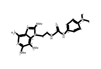 CNc1nc(N)c2nc(NC)n(CCNC(=O)Nc3ccc(N(C)C)cc3)c2c1NC